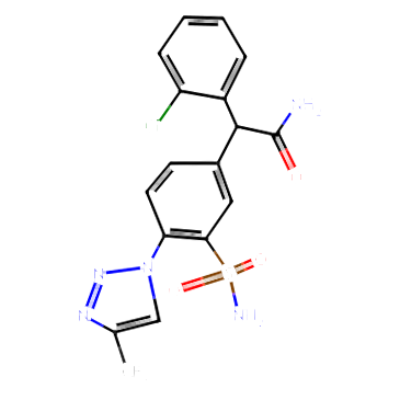 NC(=O)C(c1ccc(-n2cc(C(F)(F)F)nn2)c(S(N)(=O)=O)c1)c1ccccc1Cl